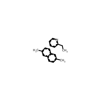 CCc1ccccn1.Cc1ccc2cc(C)ccc2c1